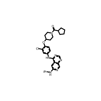 CC(C)Nc1cc2c(Nc3ccc(OC4CCN(C(=O)C5CCCC5)CC4)c(Cl)c3)ncnc2cn1